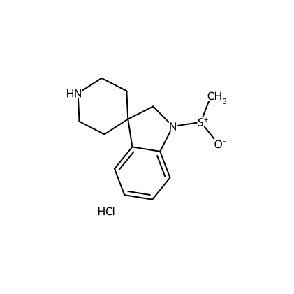 C[S+]([O-])N1CC2(CCNCC2)c2ccccc21.Cl